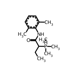 CCC(C(=O)Nc1c(C)cccc1C)[PH](C)(C)C